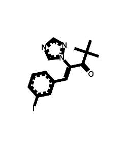 CC(C)(C)C(=O)/C(=C/c1cccc(I)c1)n1cncn1